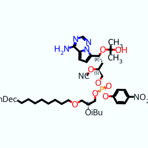 CCCCCCCCCCCCCCCCCCOC[C@H](COP(=O)(OC[C@H](C[C@@H](OC(C)(C)O)c1ccc2c(N)ncnn12)OC#N)Oc1ccc([N+](=O)[O-])cc1)OCC(C)C